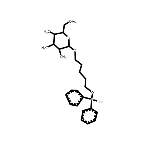 CC(=O)OCC1OC(OCCCCCO[Si](c2ccccc2)(c2ccccc2)C(C)(C)C)C(C)C(C)C1C